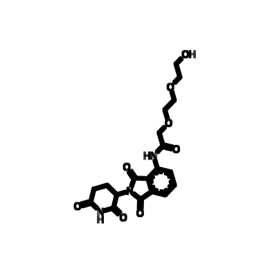 O=C1CCC(N2C(=O)c3cccc(NC(=O)COCCOCCO)c3C2=O)C(=O)N1